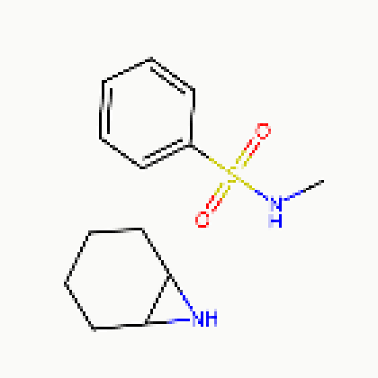 C1CCC2NC2C1.CNS(=O)(=O)c1ccccc1